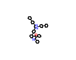 c1ccc(-c2ccc(-c3cc(-c4ccc(-c5cccc6nc(-c7ccccc7)c7c8ccccc8oc7c56)cc4)nc(-c4ccc(-c5ccccc5)cc4)n3)cc2)cc1